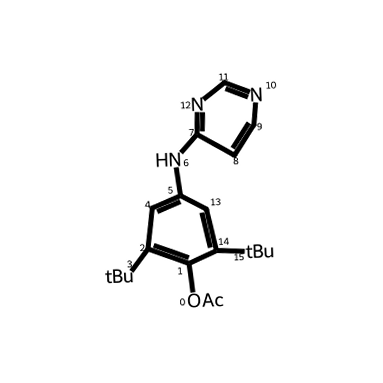 CC(=O)Oc1c(C(C)(C)C)cc(Nc2ccncn2)cc1C(C)(C)C